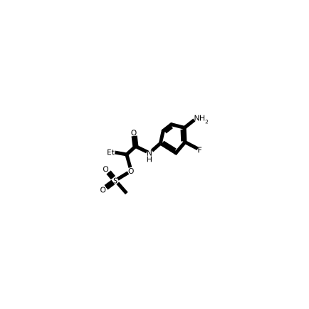 CCC(OS(C)(=O)=O)C(=O)Nc1ccc(N)c(F)c1